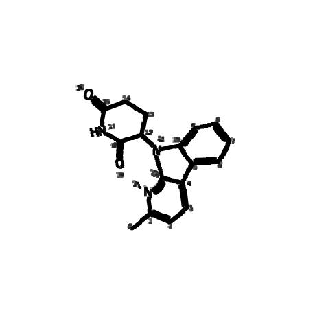 Cc1ccc2c3ccccc3n(C3CCC(=O)NC3=O)c2n1